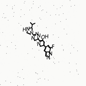 CC(C)C1CN(c2ncc(-c3ncc(-c4cc(F)c5nn(C)cc5c4)cc3O)nn2)CCN1